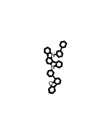 c1ccc(-c2cccc(-n3c4ccccc4c4ccc5c(c6ccccc6n5-c5cccc(-c6cccc7c6oc6ccccc67)c5)c43)c2)cc1